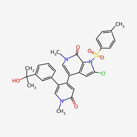 Cc1ccc(S(=O)(=O)n2c(Cl)cc3c(-c4cc(=O)n(C)cc4-c4cccc(C(C)(C)O)c4)cn(C)c(=O)c32)cc1